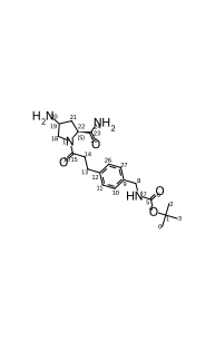 CC(C)(C)OC(=O)NCc1ccc(CCC(=O)N2CC(N)C[C@H]2C(N)=O)cc1